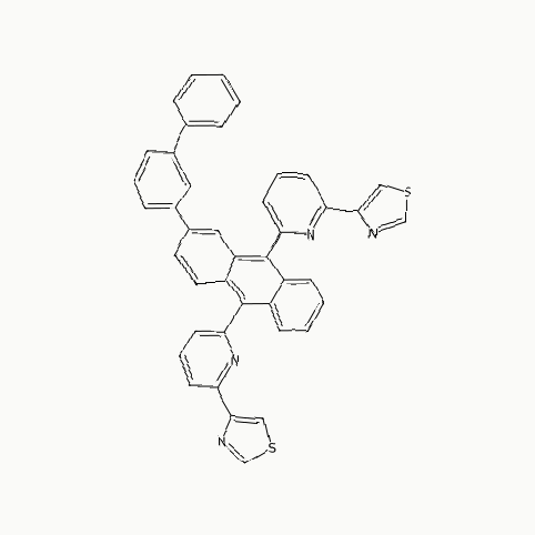 c1ccc(-c2cccc(-c3ccc4c(-c5cccc(-c6cscn6)n5)c5ccccc5c(-c5cccc(-c6cscn6)n5)c4c3)c2)cc1